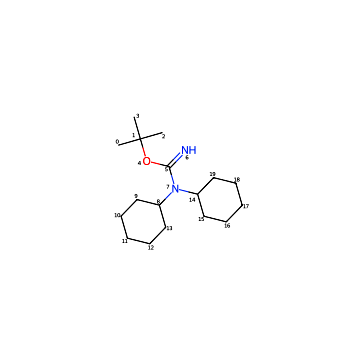 CC(C)(C)OC(=N)N(C1CCCCC1)C1CCCCC1